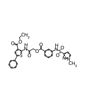 CCOC(=O)c1cc(-c2ccccc2)sc1NC(=O)COC(=O)c1cccc(NS(=O)(=O)c2ccn(C)n2)c1